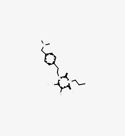 CCCn1c(=O)c(N)c(N)n(CCc2ccc(CN(C)C)cc2)c1=O